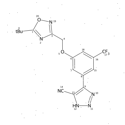 CC(C)(C)c1nc(COc2cc(-c3nn[nH]c3C#N)cc(C(F)(F)F)c2)no1